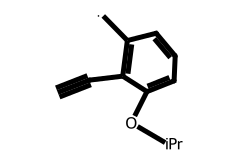 C#Cc1c([CH2])cccc1OC(C)C